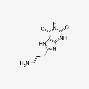 NC=CCc1nc2[nH]c(=O)[nH]c(=O)c2[nH]1